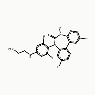 CCN1C(=O)N(c2c(F)cc(NCCC(=O)O)cc2F)c2cc(Cl)ccc2-c2cc(Cl)cnc21